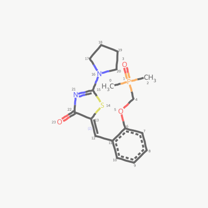 CP(C)(=O)COc1ccccc1/C=C1\SC(N2CCCC2)=NC1=O